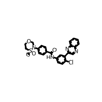 O=C(Nc1ccc(Cl)c(-c2cnc3ccccc3n2)c1)c1ccc(N2COCCS2(=O)=O)cc1